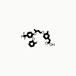 Cc1cc(CC(=O)O)ccc1OCCC(C)Oc1ccc(C(F)(F)F)cc1Oc1ccccc1F